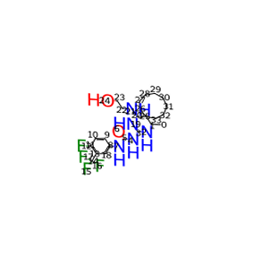 CC1NC(NC(=O)Nc2ccc(F)c(C(F)(F)F)c2)NC(NCCO)C12CCCCCCCC2